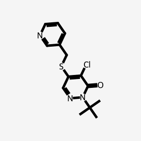 CC(C)(C)n1ncc(SCc2cccnc2)c(Cl)c1=O